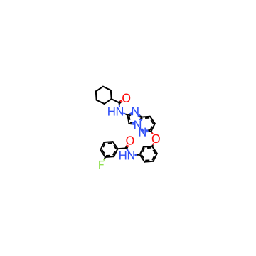 O=C(Nc1cccc(Oc2ccc3nc(NC(=O)C4CCCCC4)cn3n2)c1)c1cccc(F)c1